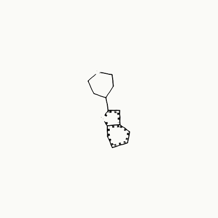 c1ccc2[nH]c(C3CC[N]CC3)cc2c1